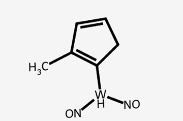 CC1=[C]([WH]([N]=O)[N]=O)CC=C1